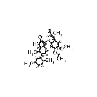 CCOc1nc(C(CS(C)(=O)=O)n2c(=O)[nH]c3c(C)c(-c4cc(C)ccc4C)cnc32)ccc1OC